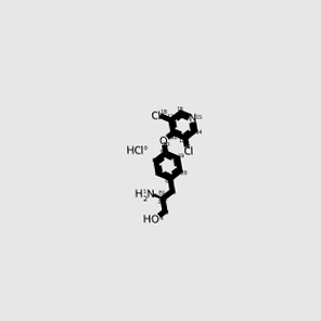 Cl.N[C@H](CO)Cc1ccc(Oc2c(Cl)cncc2Cl)cc1